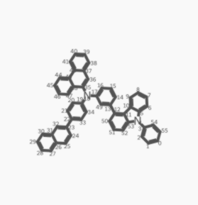 c1ccc(-n2c3ccccc3c3c(-c4cccc(N(c5ccc(-c6ccc7ccccc7c6)cc5)c5cc6ccccc6c6ccccc56)c4)cccc32)cc1